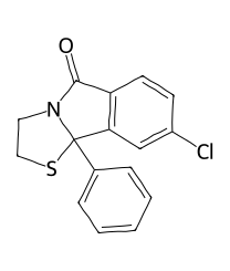 O=C1c2ccc(Cl)cc2C2(c3ccccc3)SCCN12